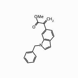 C=C(C(=O)OC)c1ccc2ccn(Cc3ccccc3)c2c1